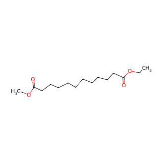 CCOC(=O)CCCCCCCCCCC(=O)OC